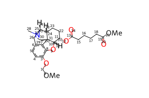 COCOc1ccc2c3c1O[C@H]1[C@@H](OC(=O)CCCCC(=O)OC)CC[C@H]4[C@@H](C2)N(C)CC[C@@]341